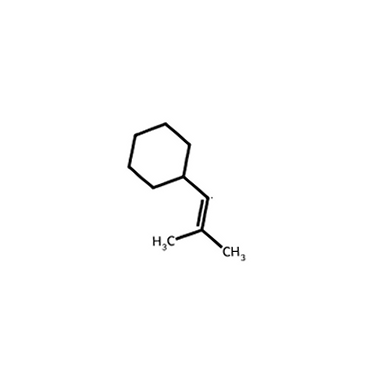 CC(C)=[C]C1CCCCC1